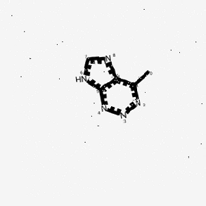 Cc1nnnc2[nH]cnc12